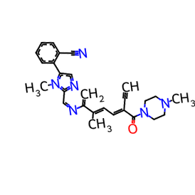 C#C/C(=C\C=C(/C)C(=C)/N=C\c1ncc(-c2ccccc2C#N)n1C)C(=O)N1CCN(C)CC1